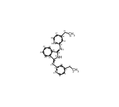 CCc1ccnc(/N=C2\N/C(=N/c3cc(CC)ccn3)c3ccccc32)c1